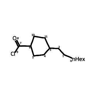 CCCCCCCCC1CCC(C(=O)Cl)CC1